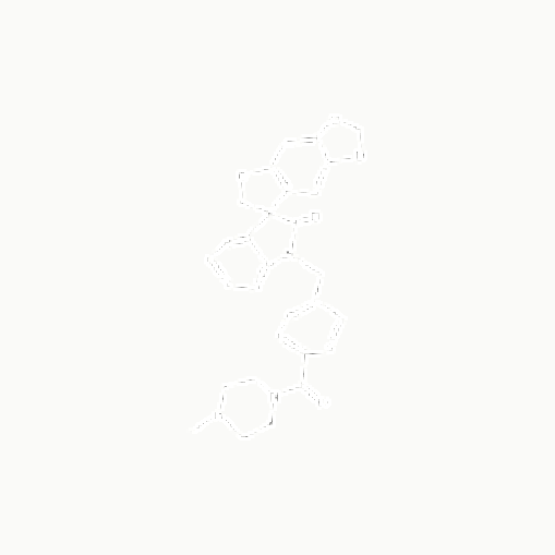 CN1CCN(C(=O)c2ccc(CN3C(=O)C4(COc5cc6c(cc54)OCO6)c4ccccc43)cc2)CC1